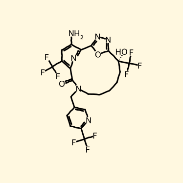 Nc1cc(C(F)(F)F)c2nc1-c1nnc(o1)[C@@](O)(C(F)(F)F)CCCCCN(Cc1ccc(C(F)(F)F)nc1)C2=O